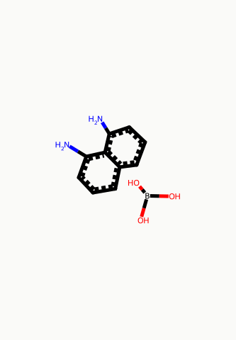 Nc1cccc2cccc(N)c12.OB(O)O